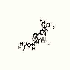 CNc1nc(NC2CC(C)(O)C2)nn2ccc(-c3cnc4nc(C)n(CC(F)F)c4c3)c12